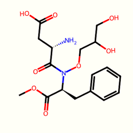 COC(=O)[C@H](Cc1ccccc1)N(OCC(O)CO)C(=O)[C@@H](N)CC(=O)O